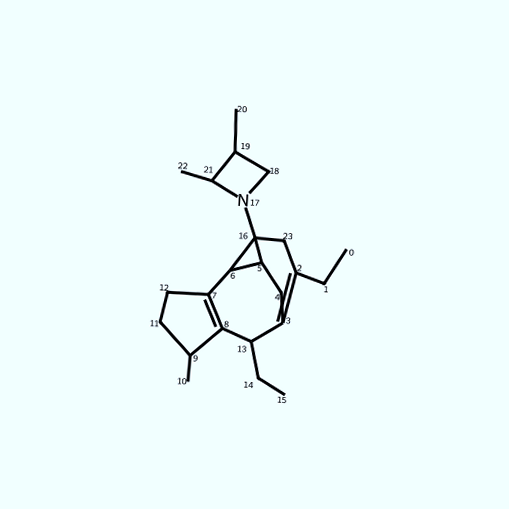 CCC1=C2CC3C(C4=C(C(C)CC4)C2CC)C3(N2CC(C)C2C)C1